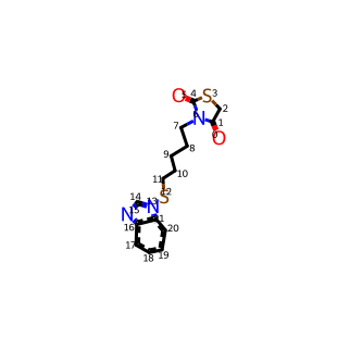 O=C1CSC(=O)N1CCCCCSn1cnc2ccccc21